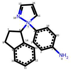 Nc1ccc([N+]2(C3CCc4ccccc43)C=CC=N2)cc1